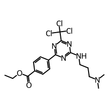 CCOC(=O)c1ccc(-c2nc(NCCCN(C)C)nc(C(Cl)(Cl)Cl)n2)cc1